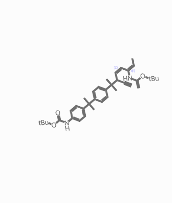 C#CC(/C=C\C(=C/C)NC(=C)OC(C)(C)C)C(C)(C)c1ccc(C(C)(C)c2ccc(NC(=O)OC(C)(C)C)cc2)cc1